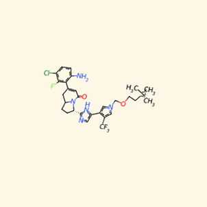 C[Si](C)(C)CCOCn1cc(-c2cnc([C@@H]3CCC4CC(c5c(N)ccc(Cl)c5F)=CC(=O)N43)[nH]2)c(C(F)(F)F)c1